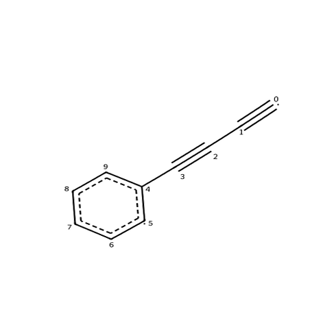 [C]#CC#Cc1[c]cccc1